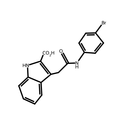 O=C(Cc1c(C(=O)O)[nH]c2ccccc12)Nc1ccc(Br)cc1